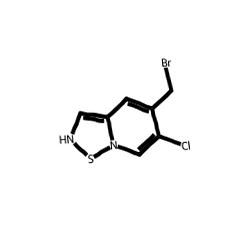 ClC1=CN2SNC=C2C=C1CBr